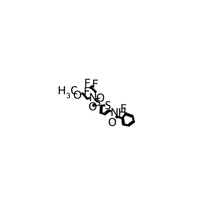 COCCN(CC(F)(F)F)S(=O)(=O)c1ccc(NC(=O)c2ccccc2F)s1